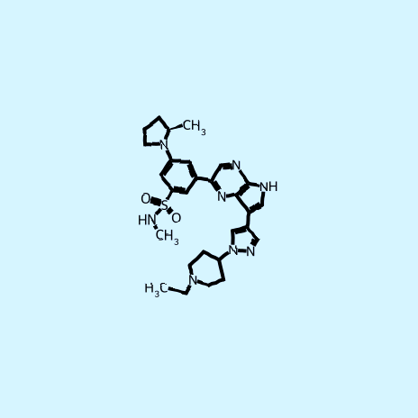 CCN1CCC(n2cc(-c3c[nH]c4ncc(-c5cc(N6CCC[C@H]6C)cc(S(=O)(=O)NC)c5)nc34)cn2)CC1